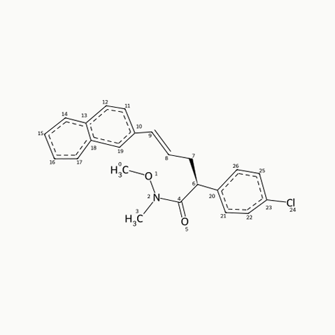 CON(C)C(=O)[C@@H](CC=Cc1ccc2ccccc2c1)c1ccc(Cl)cc1